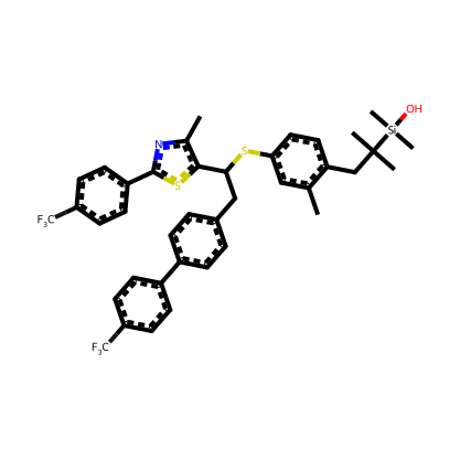 Cc1cc(SC(Cc2ccc(-c3ccc(C(F)(F)F)cc3)cc2)c2sc(-c3ccc(C(F)(F)F)cc3)nc2C)ccc1CC(C)(C)[Si](C)(C)O